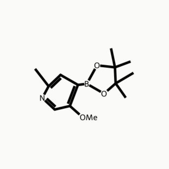 COc1cnc(C)cc1B1OC(C)(C)C(C)(C)O1